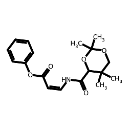 CC1(C)OCC(C)(C)C(C(=O)N/C=C\C(=O)Oc2ccccc2)O1